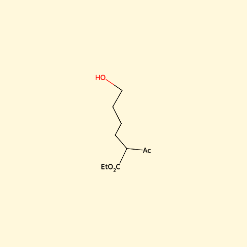 CCOC(=O)C(CCCCO)C(C)=O